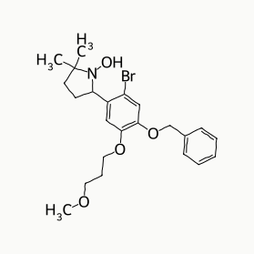 COCCCOc1cc(C2CCC(C)(C)N2O)c(Br)cc1OCc1ccccc1